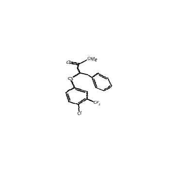 COC(=O)C(Oc1ccc(Cl)c(C(F)(F)F)c1)c1ccccc1